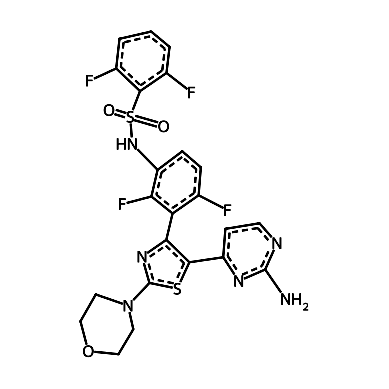 Nc1nccc(-c2sc(N3CCOCC3)nc2-c2c(F)ccc(NS(=O)(=O)c3c(F)cccc3F)c2F)n1